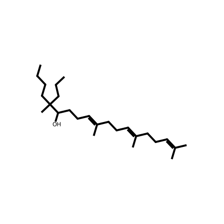 CCCCC(C)(CCC)C(O)CC/C=C(\C)CC/C=C(\C)CCC=C(C)C